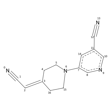 N#CC=C1CCN(c2cncc(C#N)c2)CC1